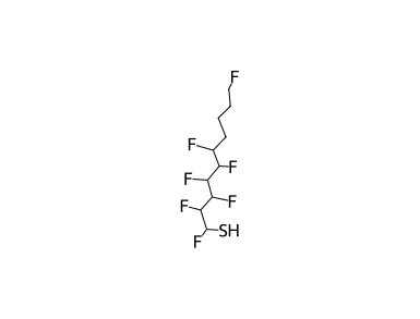 FCCCCC(F)C(F)C(F)C(F)C(F)C(F)S